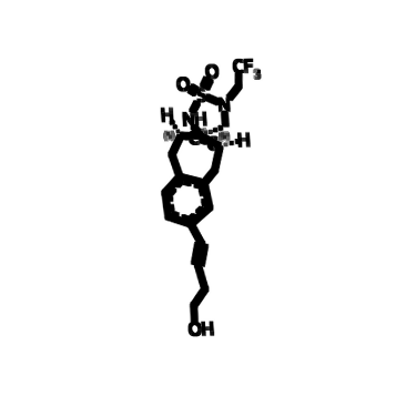 O=S1(=O)N[C@@]2(CN1CC(F)(F)F)[C@@H]1CC[C@H]2Cc2ccc(C#CCCO)cc2C1